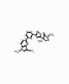 CN1CC[C@@](O)(c2cc(-c3cccc(-c4ccc5c(n4)c(N)nn5C)c3)no2)C1=O